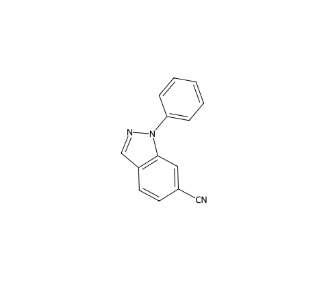 N#Cc1ccc2cnn(-c3ccccc3)c2c1